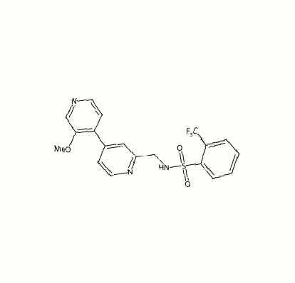 COc1cnccc1-c1ccnc(CNS(=O)(=O)c2ccccc2C(F)(F)F)c1